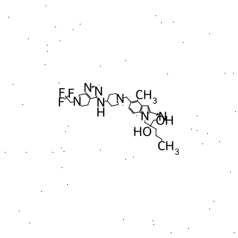 CCCCC(O)(CO)Cn1c(C#N)cc2c(C)c(CN3CCC(Nc4ncnc5c4CCN(CC(F)(F)F)C5)CC3)ccc21